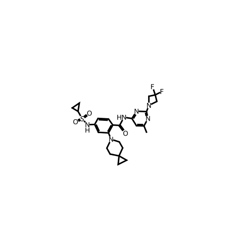 Cc1cc(NC(=O)c2ccc(NS(=O)(=O)C3CC3)cc2N2CCC3(CC2)CC3)nc(N2CC(F)(F)C2)n1